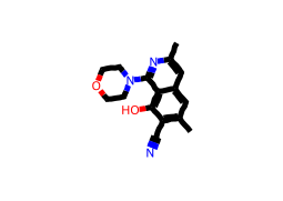 Cc1cc2cc(C)c(C#N)c(O)c2c(N2CCOCC2)n1